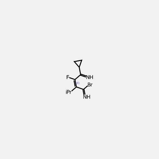 CC(C)/C(C(=N)Br)=C(\F)C(=N)C1CC1